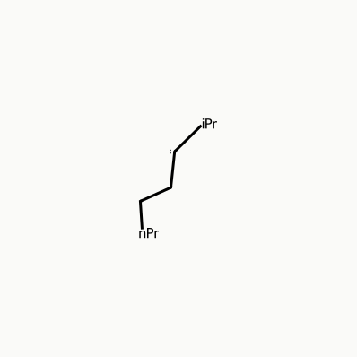 CCCCC[C]C(C)C